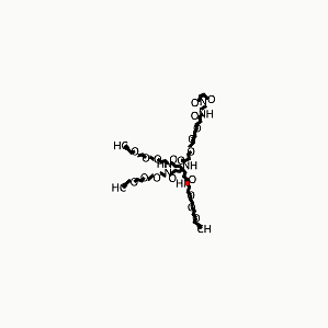 C#CCOCCOCCOCCNC(=O)CCC(CCC(=O)NCCOCCOCCOCC#C)(CCC(=O)NCCOCCOCCOCC#C)NC(=O)CCOCCOCCOCCC(=O)NCCN1C(=O)C=CC1=O